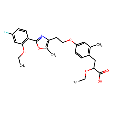 CCOc1cc(F)ccc1-c1nc(CCOc2ccc(CC(OCC)C(=O)O)c(C)c2)c(C)o1